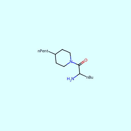 CCCCCC1CCN(C(=O)C(N)CCCC)CC1